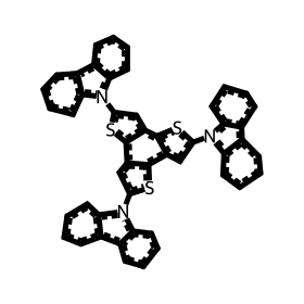 c1ccc2c(c1)c1ccccc1n2-c1cc2c(s1)c1cc(-n3c4ccccc4c4ccccc43)sc1c1cc(-n3c4ccccc4c4ccccc43)sc21